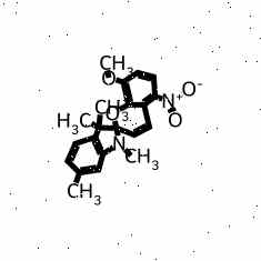 COc1ccc([N+](=O)[O-])c2c1OC1(C=C2)N(C)c2cc(C)ccc2C1(C)C